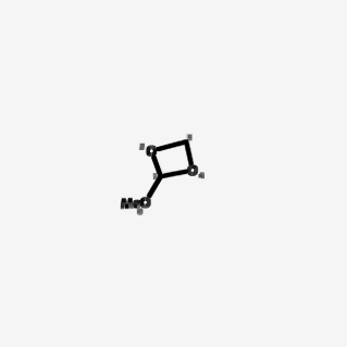 COC1OCO1